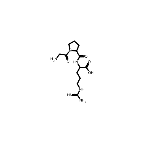 N=C(N)NCCCC(NC(=O)C1CCCN1C(=O)CN)C(=O)O